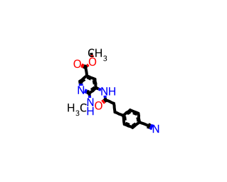 CNc1ncc(C(=O)OC)cc1NC(=O)CCc1ccc(C#N)cc1